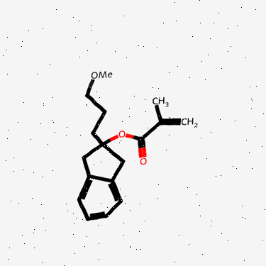 C=C(C)C(=O)OC1(CCCOC)Cc2ccccc2C1